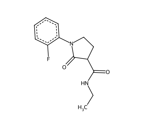 CCNC(=O)C1CCN(c2ccccc2F)C1=O